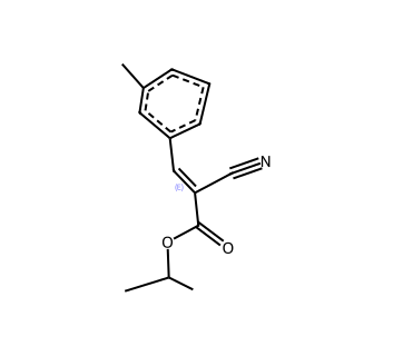 Cc1cccc(/C=C(\C#N)C(=O)OC(C)C)c1